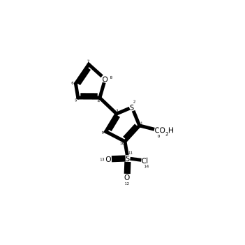 O=C(O)c1sc(-c2ccco2)cc1S(=O)(=O)Cl